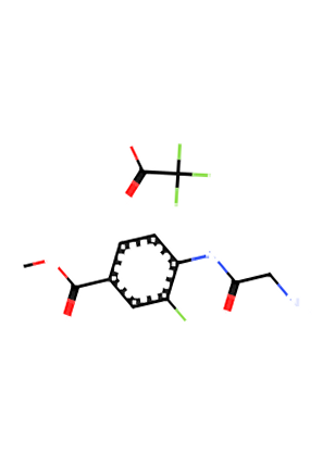 COC(=O)c1ccc(NC(=O)CN)c(F)c1.O=C(O)C(F)(F)F